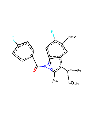 COc1cc2c(C(C(=O)O)C(C)C)c(C)n(C(=O)c3ccc(F)cc3)c2cc1F